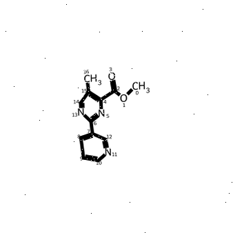 COC(=O)c1nc(-c2cccnc2)ncc1C